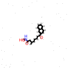 CC(CCCCC(=O)c1ccc2ccccc2c1)CC(=O)NO